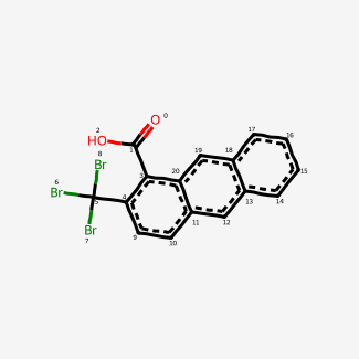 O=C(O)c1c(C(Br)(Br)Br)ccc2cc3ccccc3cc12